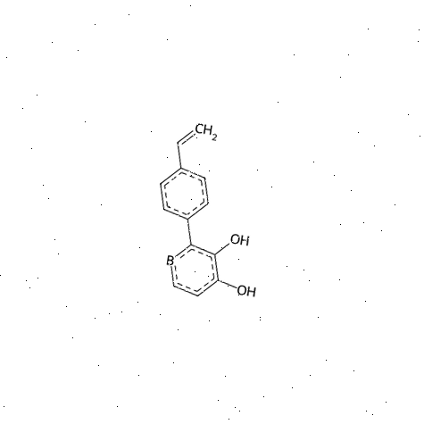 C=Cc1ccc(-c2bccc(O)c2O)cc1